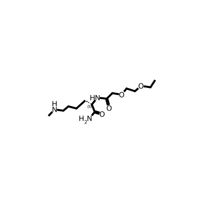 CCOCCOCC(=O)N[C@@H](CCCCNC)C(N)=O